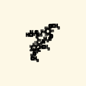 CCOc1cccc(C(C#N)(CCCN(C)CCc2cc(OC)cc(OC)c2)C(C)C)c1.Cl